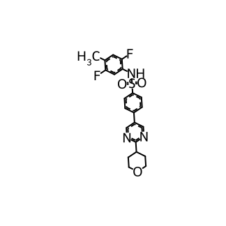 Cc1cc(F)c(NS(=O)(=O)c2ccc(-c3cnc(C4CCOCC4)nc3)cc2)cc1F